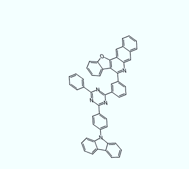 c1ccc(-c2nc(-c3ccc(-n4c5ccccc5c5ccccc54)cc3)nc(-c3cccc(-c4nc5cc6ccccc6cc5c5oc6ccccc6c45)c3)n2)cc1